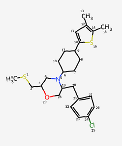 CSCC1CN(C2CCC(c3cc(C)c(C)s3)CC2)C(Cc2ccc(Cl)cc2)CO1